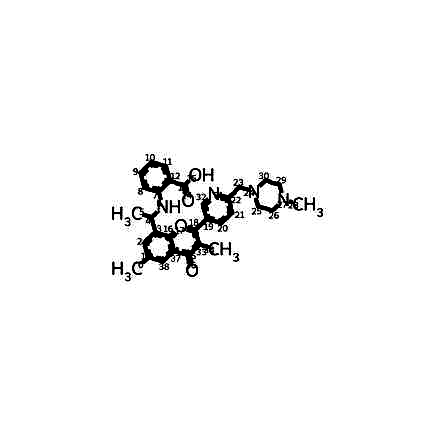 Cc1cc(C(C)Nc2ccccc2C(=O)O)c2oc(-c3ccc(CN4CCN(C)CC4)nc3)c(C)c(=O)c2c1